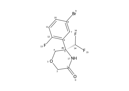 O=C1COC[C@](c2cc(Br)ccc2F)(C(F)F)N1